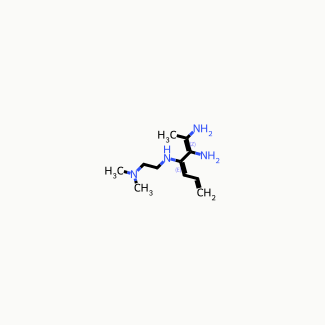 C=C/C=C(NCCN(C)C)\C(N)=C(/C)N